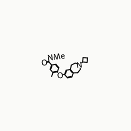 CNC(=O)c1ccc(Oc2ccc3c(c2)CCN(C2CCC2)CC3)c(C)c1